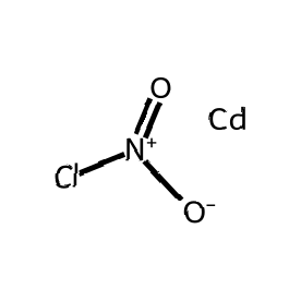 O=[N+]([O-])Cl.[Cd]